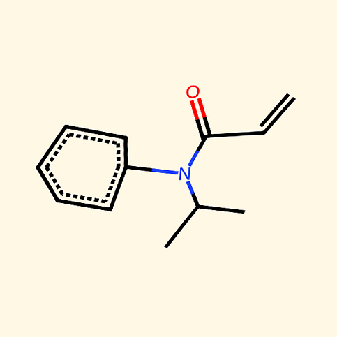 C=CC(=O)N(c1ccccc1)C(C)C